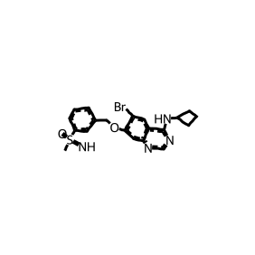 CS(=N)(=O)c1cccc(COc2cc3ncnc(NC4CCC4)c3cc2Br)c1